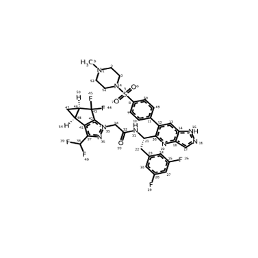 CN1CCN(S(=O)(=O)c2ccc(-c3cc4[nH]ncc4nc3[C@H](Cc3cc(F)cc(F)c3)NC(=O)Cn3nc(C(F)F)c4c3C(F)(F)[C@@H]3C[C@H]43)cc2)CC1